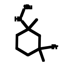 CC(C)C1(C)CCCC(C)(BC(C)(C)C)C1